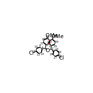 COc1ccc(C(OC(c2ccc(Cl)cc2)c2ccc(OC)cc2)c2ccc(Cl)cc2)cc1